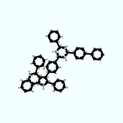 c1ccc(-c2ccc(-c3nc(-c4ccccc4)nc(-c4ccc(-c5c(-c6ccccc6)sc6c5c(-c5ccccc5)nc5ccccc56)cc4)n3)cc2)cc1